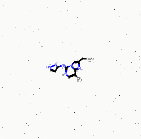 COCc1cn2c(Nc3cc[nH]n3)ncc(C(F)(F)F)c2n1